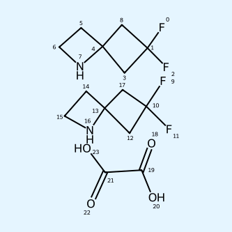 FC1(F)CC2(CCN2)C1.FC1(F)CC2(CCN2)C1.O=C(O)C(=O)O